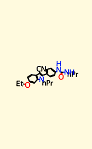 CCCNC(=O)Nc1ccc(-c2c(C#N)c3ccc(OCC)cc3n2CCC)cc1